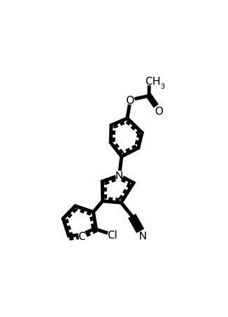 CC(=O)Oc1ccc(-n2cc(C#N)c(-c3ccccc3Cl)c2)cc1